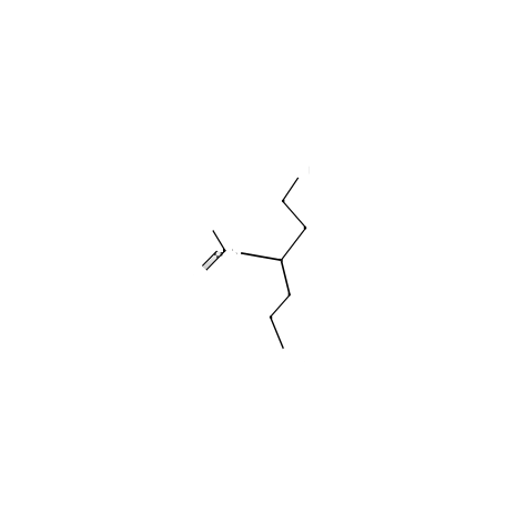 CCCC(N)CCC.O=CO